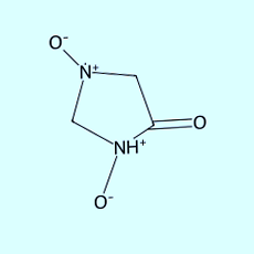 O=C1C[N+]([O-])C[NH+]1[O-]